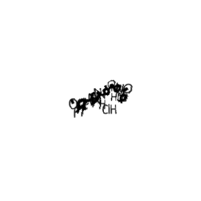 COc1ccc(-c2cnc3c(Nc4ccc(C(=O)N5CCN(C(=O)[C@@H]6CCC(C)(C)N6)CC5)c(C)c4)nccn23)c(F)c1F.Cl